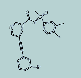 Cc1ccc(S(C)(=O)=NC(=O)c2cncc(C#Cc3cccc(Br)c3)c2)cc1C